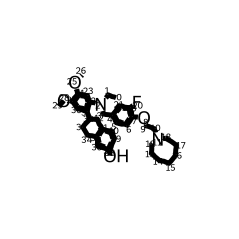 CCN(Cc1ccc(OCCN2CCCCCCC2)c(F)c1)c1cc(OC)c(OC)cc1C1CCc2cc(O)ccc2C1